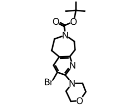 CC(C)(C)OC(=O)N1CCc2cc(Br)c(N3CCOCC3)nc2CC1